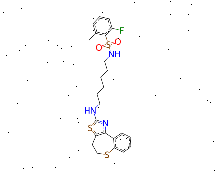 Cc1cccc(F)c1S(=O)(=O)NCCCCCCNc1nc2c(s1)CCSc1ccccc1-2